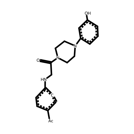 CC(=O)c1ccc(NCC(=O)N2CCN(c3cccc(O)c3)CC2)cc1